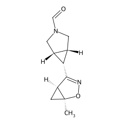 C[C@]12C[C@H]1C([C@@H]1[C@@H]3CN(C=O)C[C@@H]31)=NO2